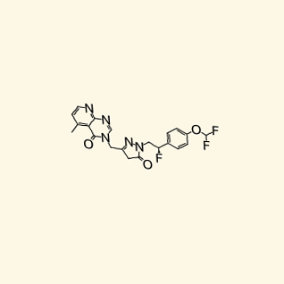 Cc1ccnc2ncn(CC3=NN(C[C@H](F)c4ccc(OC(F)F)cc4)C(=O)C3)c(=O)c12